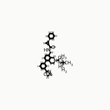 CC(C)(C)NC(=O)N1CCc2c(-c3cccc(-c4nnco4)c3)ccc(CNC(=O)C3C[C@H]3c3ccccc3)c2C1